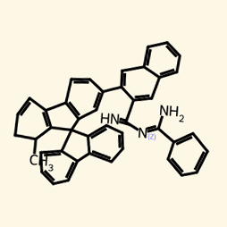 CC1CC=CC2=C1C1(c3cc(-c4cc5ccccc5cc4C(=N)/N=C(\N)c4ccccc4)ccc32)c2ccccc2-c2ccccc21